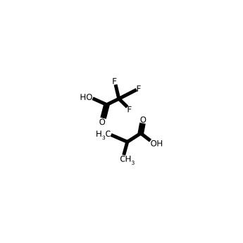 CC(C)C(=O)O.O=C(O)C(F)(F)F